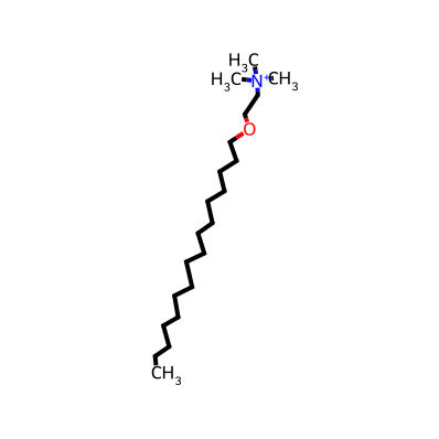 CCCCCCCCCCCCCCCCOCC[N+](C)(C)C